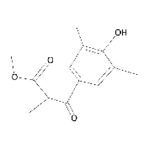 COC(=O)C(C)C(=O)c1cc(C)c(O)c(C)c1